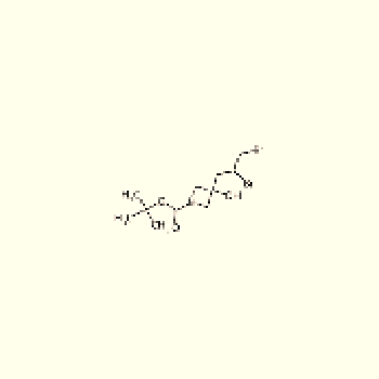 CC(C)(C)OC(=O)N1CC(O)(CC(Br)CBr)C1